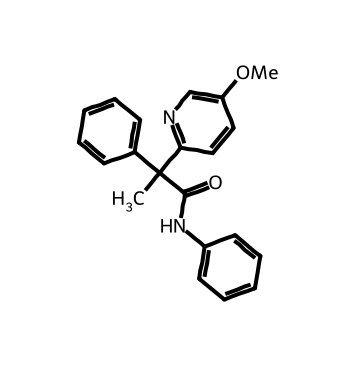 COc1ccc(C(C)(C(=O)Nc2ccccc2)c2ccccc2)nc1